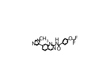 Cn1cncc1-c1ccc2cnc(NC(=O)c3ccc(OC(F)F)cc3)nc2c1